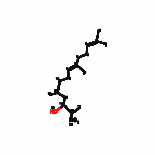 CC(C)=CCC/C(C)=C/CCC(C)CC(O)C(C)[N+](=O)[O-]